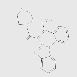 CNc1c(C(=O)N2C[C@@H](C)N[C@@H](C)C2)c2nc3ccccc3n2c2ncncc12